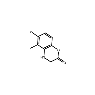 Cc1c(Br)ccc2c1NCC(=O)O2